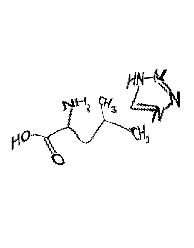 CC(C)CC(N)C(=O)O.c1nnn[nH]1